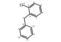 Clc1ccccc1Cc1cc[c]cc1